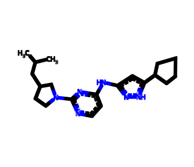 CC(C)CC1CCN(c2nccc(Nc3cc(C4CCCC4)[nH]n3)n2)C1